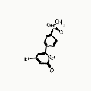 CCc1cc(-c2ccc(S(C)(=O)=O)cc2)[nH]c(=O)c1